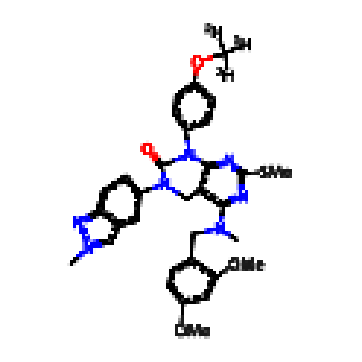 [2H]C([2H])([2H])Oc1ccc(N2C(=O)N(c3ccc4nn(C)cc4c3)Cc3c(N(C)Cc4ccc(OC)cc4OC)nc(SC)nc32)cc1